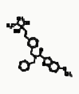 COc1ccc2oc(C(=O)N(Cc3ccccc3)Cc3cccc(C=C[Si](O)(O)C(C)C)c3)cc2c1